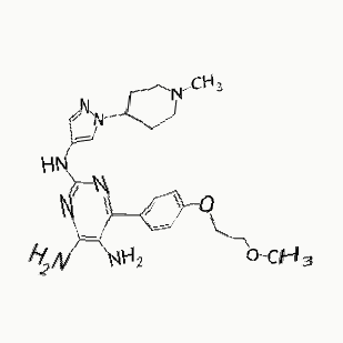 COCCOc1ccc(-c2nc(Nc3cnn(C4CCN(C)CC4)c3)nc(N)c2N)cc1